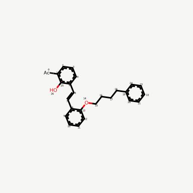 CC(=O)c1cccc(C=Cc2ccccc2OCCCCc2ccccc2)c1O